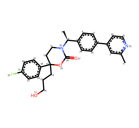 Cc1cc(-c2ccc([C@H](C)N3CCC(CCCO)(c4ccc(F)cc4)OC3=O)cc2)ccn1